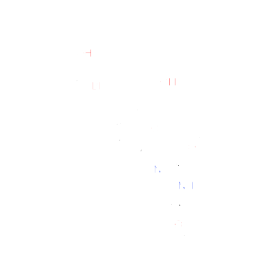 Cc1cn(C2CC(CBCO)C(CO)O2)c(=O)[nH]c1=O